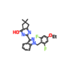 CCOc1cc(F)c(Cn2nc(-c3nc(O)c4c(n3)CC(C)(C)C4)c3ccccc32)c(F)c1